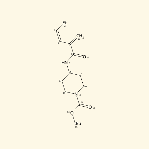 C=C(/C=C\CC)C(=O)NC1CCN(C(=O)OC(C)(C)C)CC1